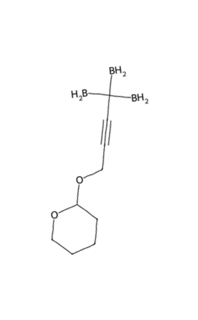 BC(B)(B)C#CCOC1CCCCO1